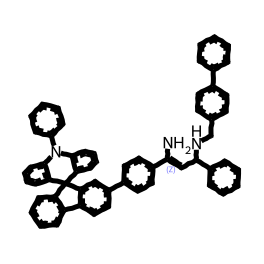 N/C(=C\C(NCc1ccc(-c2ccccc2)cc1)c1ccccc1)c1ccc(-c2ccc3c(c2)C2(c4ccccc4-3)c3ccccc3N(c3ccccc3)c3ccccc32)cc1